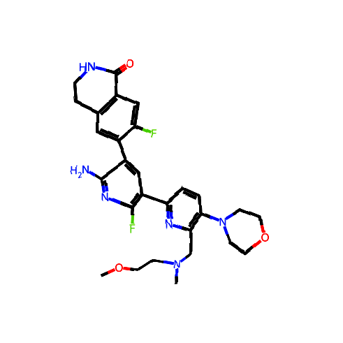 COCCN(C)Cc1nc(-c2cc(-c3cc4c(cc3F)C(=O)NCC4)c(N)nc2F)ccc1N1CCOCC1